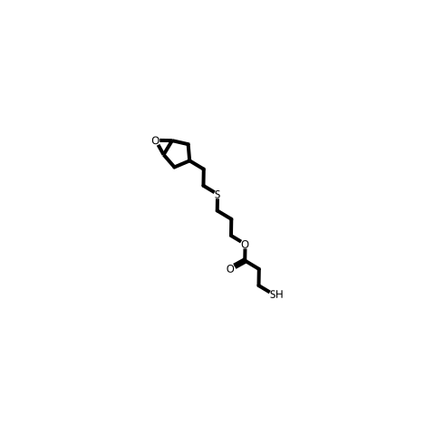 O=C(CCS)OCCCSCCC1CC2OC2C1